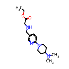 CCOC(=O)CNCc1ccc(N2CCC(N(C)C)CC2)nc1